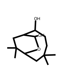 CC1(C)CCC(O)C2CC(C)(C)C(C1)OC2O